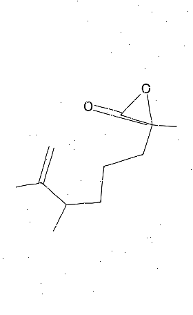 C=C(C)C(C)CCCC1(C)OC1=O